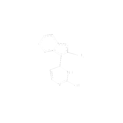 CC1=NC=CC(c2c(C)sc3ccccc23)N1